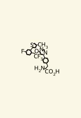 Cc1csc(-c2cc(F)ccc2C(Oc2cc(-c3ccc(CC(N)C(=O)O)cc3)ncn2)C(F)(F)F)c1